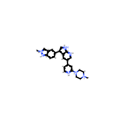 CN1CCN(c2cc(-c3cnc4[nH]cc(-c5ccc6nn(C)cc6c5)c4c3)ccn2)CC1